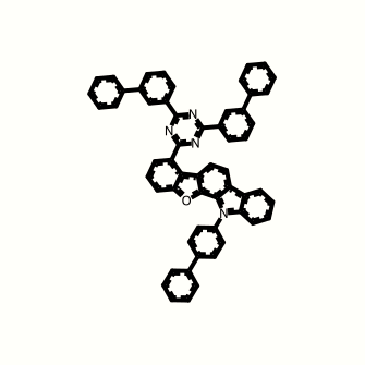 c1ccc(-c2ccc(-n3c4ccccc4c4ccc5c(oc6cccc(-c7nc(-c8cccc(-c9ccccc9)c8)nc(-c8cccc(-c9ccccc9)c8)n7)c65)c43)cc2)cc1